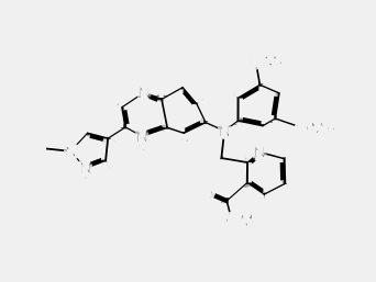 COC(=O)c1cccnc1CN(c1cc(OC)cc(OC)c1)c1ccc2ncc(-c3cnn(C)c3)nc2c1